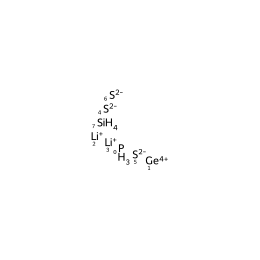 P.[Ge+4].[Li+].[Li+].[S-2].[S-2].[S-2].[SiH4]